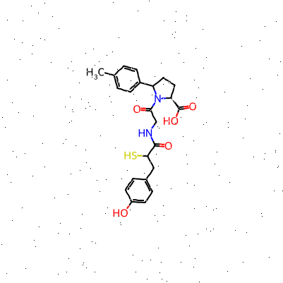 Cc1ccc(C2CC[C@@H](C(=O)O)N2C(=O)CNC(=O)C(S)Cc2ccc(O)cc2)cc1